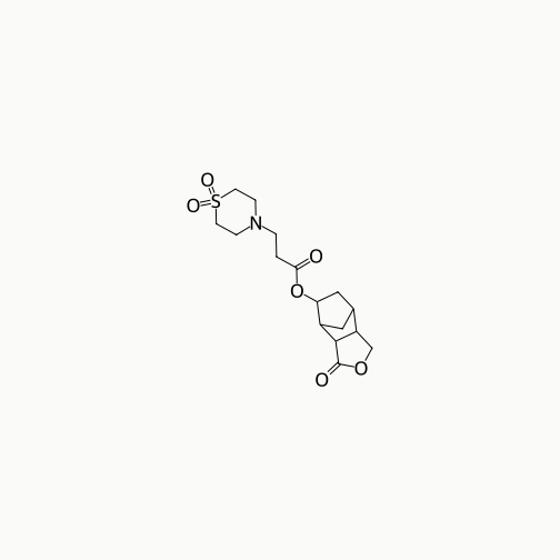 O=C(CCN1CCS(=O)(=O)CC1)OC1CC2CC1C1C(=O)OCC21